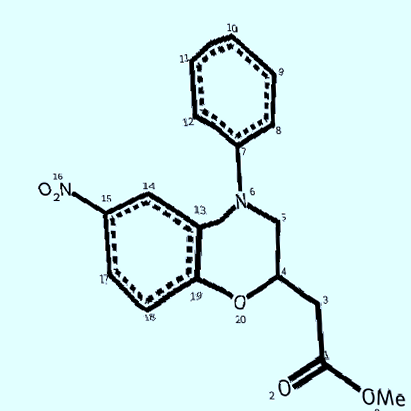 COC(=O)CC1CN(c2ccccc2)c2cc([N+](=O)[O-])ccc2O1